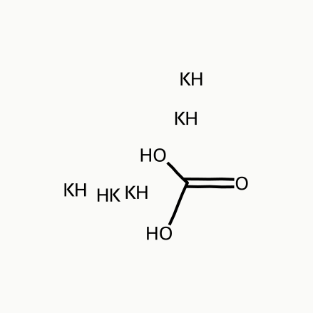 O=C(O)O.[KH].[KH].[KH].[KH].[KH]